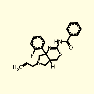 C=CCN1C[C@H]2CSC(NC(=O)c3ccccc3)=NC2(c2ccccc2F)C1